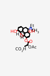 CCN(C)[C@@H]1Cc2ccc(O)c3c2[C@@]2(C)[C@@H](O3)C(OC(=O)[C@H](CC(=O)O)OC(C)=O)=CC[C@@]12O